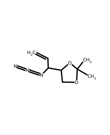 C=CC(N=[N+]=[N-])C1COC(C)(C)O1